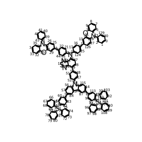 c1ccc(N2c3ccccc3Oc3cc(-c4ccc(N(c5ccc(-c6ccc7c(c6)Oc6ccccc6N7c6ccccc6)cc5)c5ccc(-c6ccc(-n7c8ccc(-c9ccc([Si](c%10ccccc%10)(c%10ccccc%10)c%10ccccc%10)cc9)cc8c8cc(-c9ccc([Si](c%10ccccc%10)(c%10ccccc%10)c%10ccccc%10)cc9)ccc87)cc6)c6nsnc56)cc4)ccc32)cc1